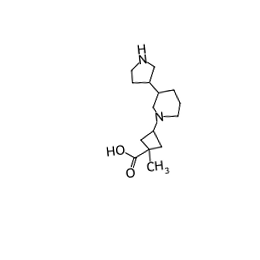 CC1(C(=O)O)CC(N2CCCC(C3CCNC3)C2)C1